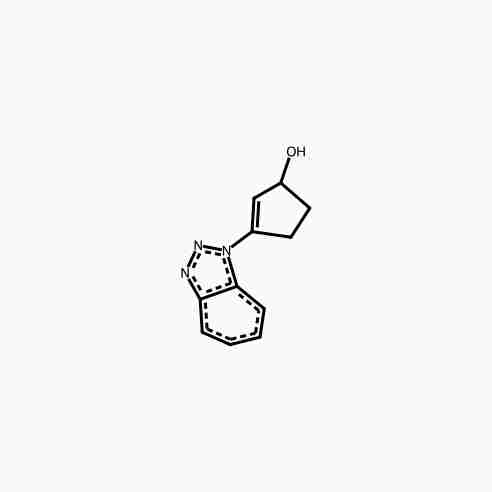 OC1C=C(n2nnc3ccccc32)CC1